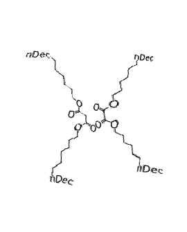 CCCCCCCCCCCCCCCCOC(=O)C(=O)OCCCCCCCCCCCCCCCC.CCCCCCCCCCCCCCCCOC(=O)CC(=O)OCCCCCCCCCCCCCCCC